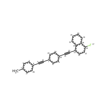 Cc1ccc(C#Cc2ccc(C#Cc3ccc(F)c4ccccc34)cc2)cc1